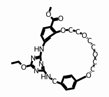 CCOc1nc2nc(n1)Nc1ccc(C(=O)OC)c(c1)OCCOCCOCCOc1ccc(cc1)CN2